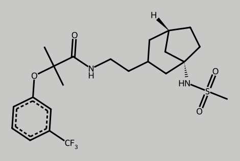 CC(C)(Oc1cccc(C(F)(F)F)c1)C(=O)NCCC1C[C@@H]2CC[C@@](NS(C)(=O)=O)(C1)C2